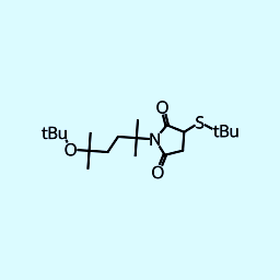 CC(C)(C)OC(C)(C)CCC(C)(C)N1C(=O)CC(SC(C)(C)C)C1=O